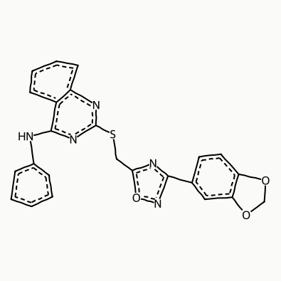 c1ccc(Nc2nc(SCc3nc(-c4ccc5c(c4)OCO5)no3)nc3ccccc23)cc1